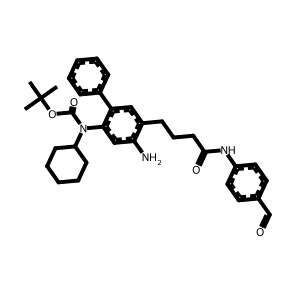 CC(C)(C)OC(=O)N(c1cc(N)c(CCCC(=O)Nc2ccc(C=O)cc2)cc1-c1ccccc1)C1CCCCC1